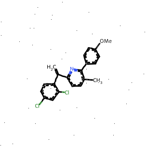 C=C(c1ccc(C)c(-c2ccc(OC)cc2)n1)c1ccc(Cl)cc1Cl